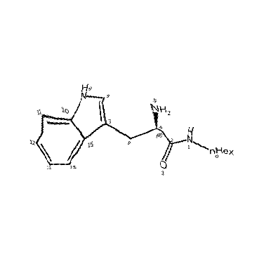 CCCCCCNC(=O)[C@H](N)Cc1c[nH]c2ccccc12